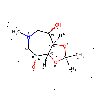 CN1C[C@@H](O)[C@H]2OC(C)(C)O[C@@H]2[C@H](O)C1